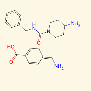 NC1CCN(C(=O)NCc2ccccc2)CC1.NC=C1C=CC(C(=O)O)=CC1